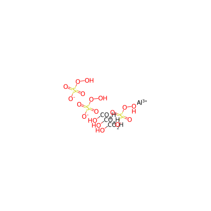 O=C(O)O.O=C(O)O.O=C(O)O.O=S(=O)([O-])OO.O=S(=O)([O-])OO.O=S(=O)([O-])OO.[Al+3]